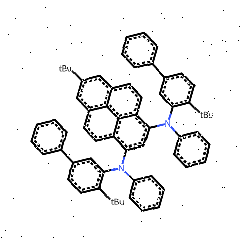 CC(C)(C)c1cc2ccc3c(N(c4ccccc4)c4cc(-c5ccccc5)ccc4C(C)(C)C)cc(N(c4ccccc4)c4cc(-c5ccccc5)ccc4C(C)(C)C)c4ccc(c1)c2c34